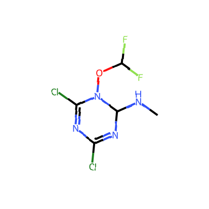 CNC1N=C(Cl)N=C(Cl)N1OC(F)F